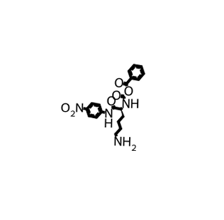 NCCCC[C@H](NC(=O)OC(=O)c1ccccc1)C(=O)Nc1ccc([N+](=O)[O-])cc1